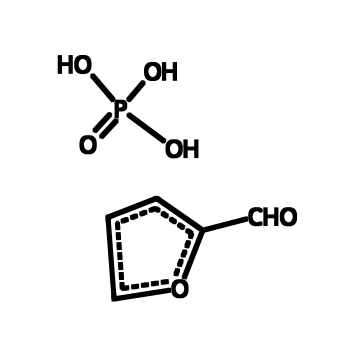 O=Cc1ccco1.O=P(O)(O)O